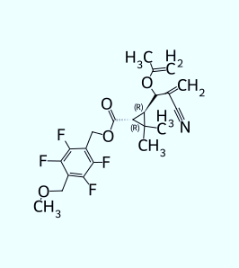 C=C(C)OC(C(=C)C#N)[C@@H]1[C@@H](C(=O)OCc2c(F)c(F)c(COC)c(F)c2F)C1(C)C